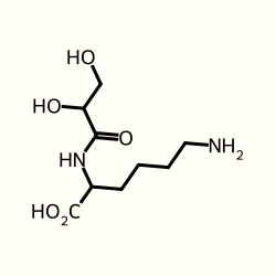 NCCCCC(NC(=O)C(O)CO)C(=O)O